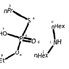 CCCCCCNCCCCCC.CCCSP(=O)(O)OCC